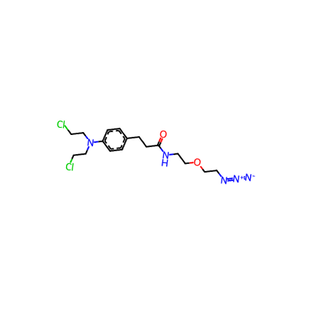 [N-]=[N+]=NCCOCCNC(=O)CCc1ccc(N(CCCl)CCCl)cc1